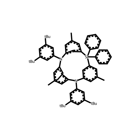 Cc1cc2cc(c1)[Si](c1ccccc1)(c1ccccc1)c1cc(C)cc(c1)N(c1cc(C(C)(C)C)cc(C(C)(C)C)c1)c1cc(C)cc(c1Cl)N2c1cc(C(C)(C)C)cc(C(C)(C)C)c1